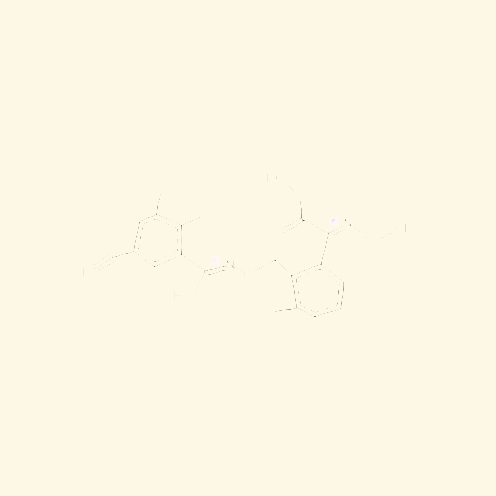 C#Cc1cc(F)c(F)c(/C(C)=N/OCc2c(C)cccc2/C(=N\OC)C(=O)OC)c1